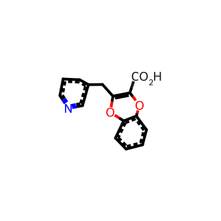 O=C(O)C1=C(Cc2cccnc2)Oc2ccccc2O1